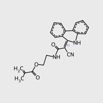 C=C(C)C(=O)OCCNC(=O)/C(C#N)=C1/Nc2ccccc2-c2ccccc21